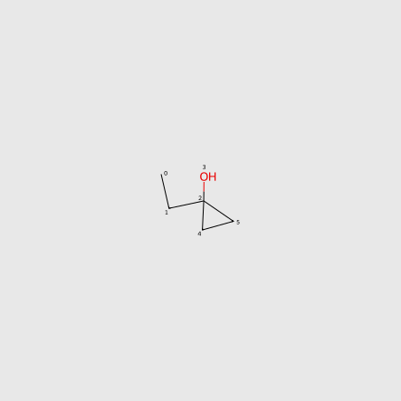 CCC1(O)CC1